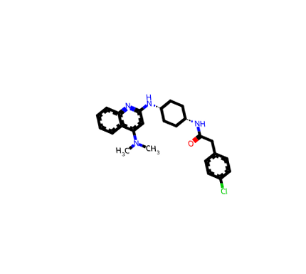 CN(C)c1cc(N[C@H]2CC[C@@H](NC(=O)Cc3ccc(Cl)cc3)CC2)nc2ccccc12